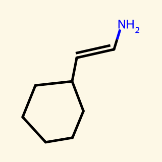 NC=CC1CCCCC1